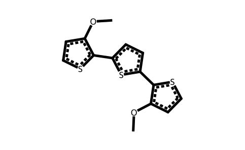 COc1ccsc1-c1ccc(-c2sccc2OC)s1